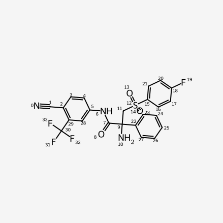 N#Cc1ccc(NC(=O)C(N)(CS(=O)(=O)c2ccc(F)cc2)c2ccccc2)cc1C(F)(F)F